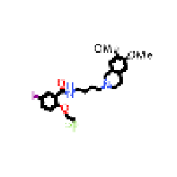 COc1cc2c(cc1OC)CN(CCCCNC(=O)c1cc(I)ccc1OCC[18F])CC2